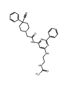 CC(=O)NCCNc1cc(NC(=O)CN2CCC(C#N)(c3ccccc3)CC2)nc(-c2ccccc2)n1